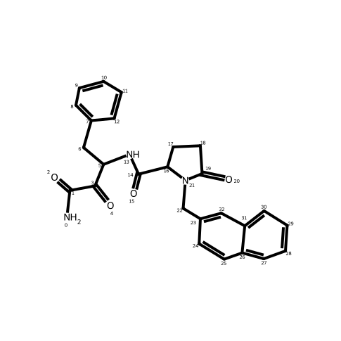 NC(=O)C(=O)C(Cc1ccccc1)NC(=O)C1CCC(=O)N1Cc1ccc2ccccc2c1